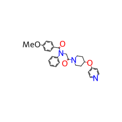 COc1ccc(C(=O)N(CC(=O)N2CCC(Oc3ccncc3)CC2)c2ccccc2)cc1